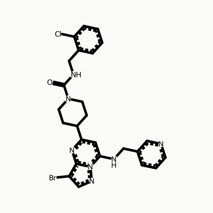 O=C(NCc1ccccc1Cl)N1CCC(c2cc(NCc3cccnc3)n3ncc(Br)c3n2)CC1